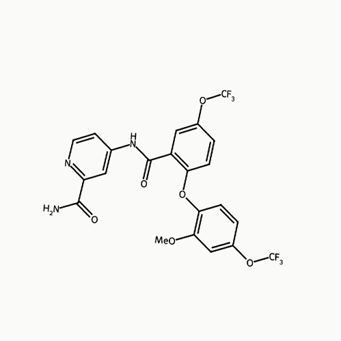 COc1cc(OC(F)(F)F)ccc1Oc1ccc(OC(F)(F)F)cc1C(=O)Nc1ccnc(C(N)=O)c1